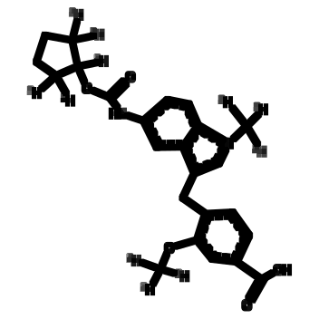 [2H]C([2H])([2H])Oc1cc(C(=O)O)ccc1Cc1cn(C([2H])([2H])[2H])c2ccc(NC(=O)OC3([2H])C([2H])([2H])CCC3([2H])[2H])cc12